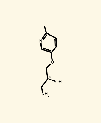 Cc1ccc(OC[C@@H](O)CN)cn1